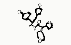 CC(NC(=O)C(c1cccnc1)N1CCOCC1)C(Cc1ccc(Cl)cc1)c1ccc(Cl)cc1